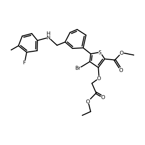 CCOC(=O)COc1c(C(=O)OC)sc(-c2cccc(CNc3ccc(C)c(F)c3)c2)c1Br